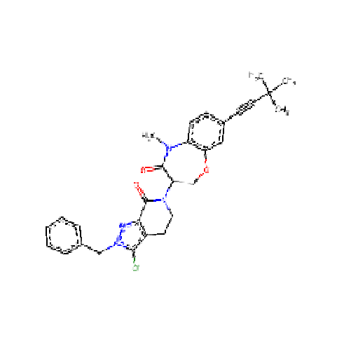 CN1C(=O)C(N2CCc3c(nn(Cc4ccccc4)c3Cl)C2=O)COc2cc(C#CC(C)(C)C)ccc21